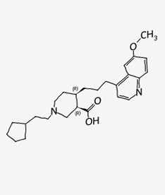 COc1ccc2nccc(CCC[C@@H]3CCN(CCC4CCCC4)C[C@@H]3C(=O)O)c2c1